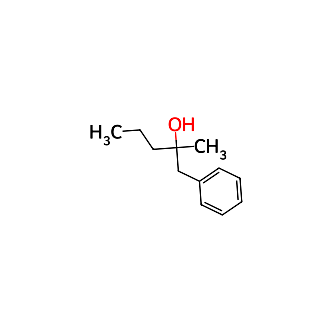 CCCC(C)(O)Cc1ccccc1